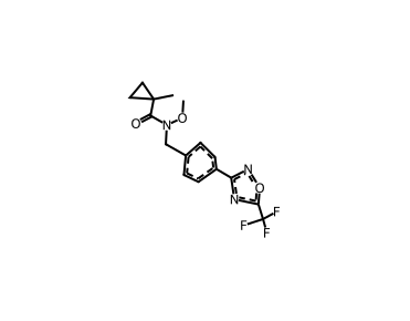 CON(Cc1ccc(-c2noc(C(F)(F)F)n2)cc1)C(=O)C1(C)CC1